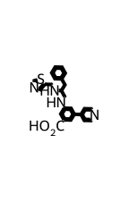 O=C(O)c1cc(NCC(Cc2ccccc2)NCc2cncs2)cc(-c2ccncc2)c1